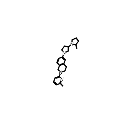 Cc1cccc(N2CCc3cc(N4CCC(N5CCCC5C)C4)ccc3C2)n1